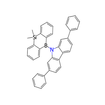 C[Si]1(C)c2ccccc2B(n2c3cc(-c4ccccc4)ccc3c3ccc(-c4ccccc4)cc32)c2ccccc21